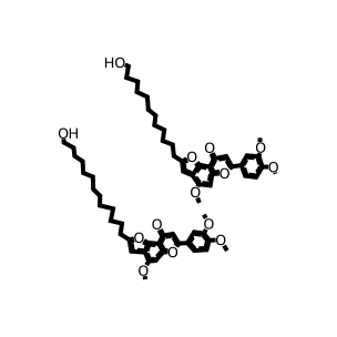 COc1ccc(-c2cc(=O)c3c(cc(OC)c4cc(CCCCCCCCCCCCCO)oc43)o2)cc1OC.COc1ccc(-c2cc(=O)c3c(cc(OC)c4cc(CCCCCCCCCCCCO)oc43)o2)cc1OC